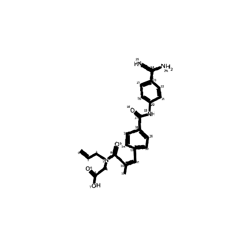 C=CCN(CC(=O)O)C(=O)C(C)=Cc1ccc(C(=O)Nc2ccc(C(=N)N)cc2)cc1